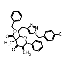 C=C1C(=O)[C@](C)(C(=O)OCc2ccccc2)[C@@H](CCc2cn(Cc3ccc(Cl)cc3)nn2)O[C@H]1c1ccccc1